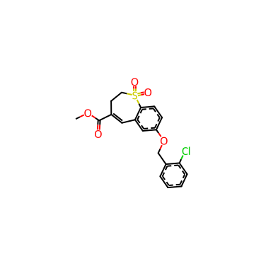 COC(=O)C1=Cc2cc(OCc3ccccc3Cl)ccc2S(=O)(=O)CC1